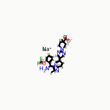 Cc1nc2ccc(-c3cnc(N4CCC(C)(C(=O)[O-])CC4)nc3)cn2c1C(N)c1ccccc1OC(F)F.[Na+]